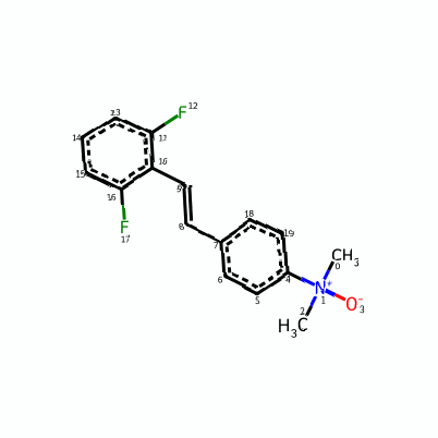 C[N+](C)([O-])c1ccc(/C=C/c2c(F)cccc2F)cc1